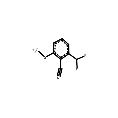 CSc1cccc(C(F)F)c1C#N